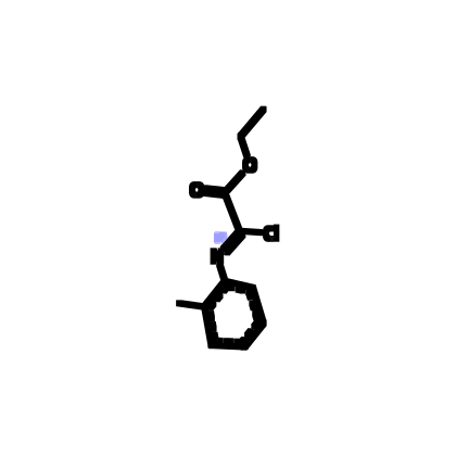 CCOC(=O)/C(Cl)=N/c1ccccc1C